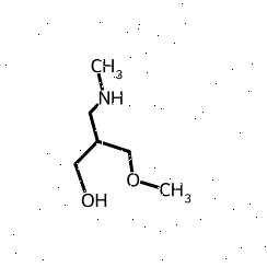 CNCC(CO)COC